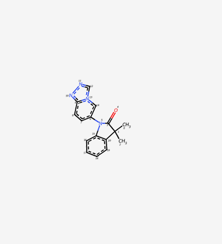 CC1(C)C(=O)N(c2ccc3nncn3c2)c2cc[c]cc21